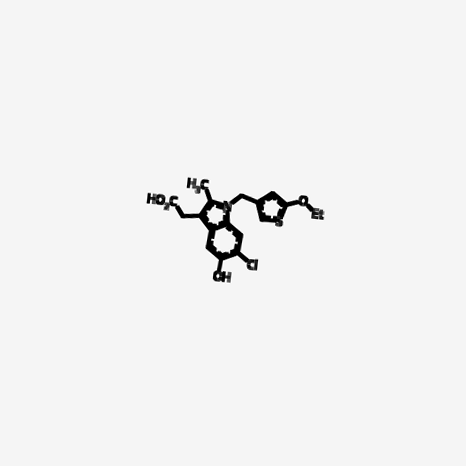 CCOc1cc(Cn2c(C)c(CC(=O)O)c3cc(O)c(Cl)cc32)cs1